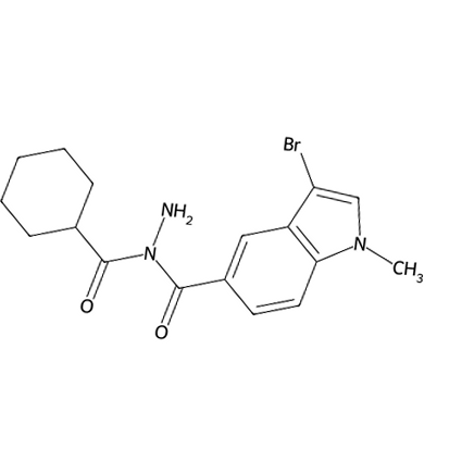 Cn1cc(Br)c2cc(C(=O)N(N)C(=O)C3CCCCC3)ccc21